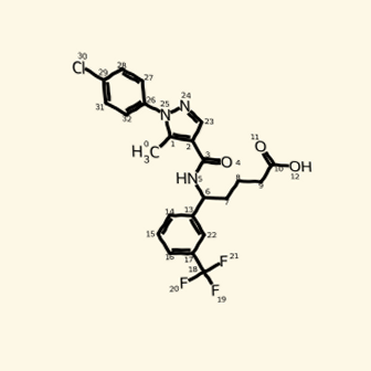 Cc1c(C(=O)NC(CCCC(=O)O)c2cccc(C(F)(F)F)c2)cnn1-c1ccc(Cl)cc1